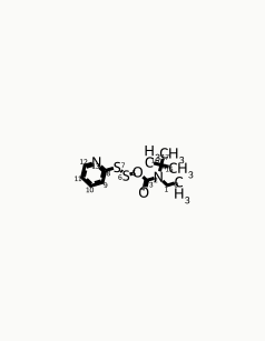 CCN(C(=O)OSSc1ccccn1)C(C)(C)C